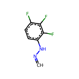 [CH]=NNc1ccc(F)c(F)c1F